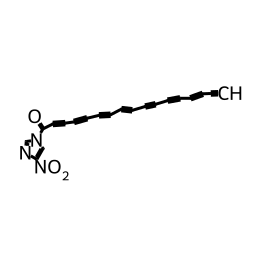 C#CC#CC#CC#CC#CC#CC#CC#CC(=O)n1cnc([N+](=O)[O-])c1